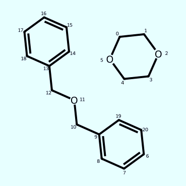 C1COCCO1.c1ccc(COCc2ccccc2)cc1